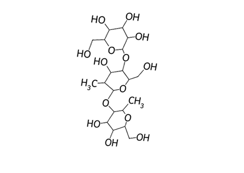 CC1OC(CO)C(O)C(O)C1OC1OC(CO)C(OC2OC(CO)C(O)C(O)C2O)C(O)C1C